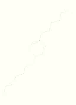 CCCCCCc1cnc(SCCCCCO)nc1